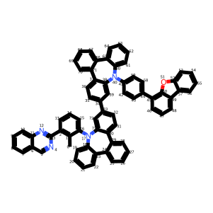 Cc1c(-c2ncc3ccccc3n2)cccc1N1c2ccccc2-c2ccccc2-c2ccc(-c3ccc4c(c3)N(c3ccc(-c5cccc6c5oc5ccccc56)cc3)c3ccccc3-c3ccccc3-4)cc21